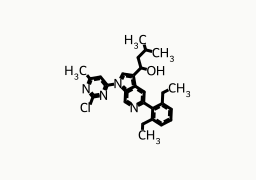 CCc1cccc(CC)c1-c1cc2c(C(O)CC(C)C)cn(-c3cc(C)nc(Cl)n3)c2cn1